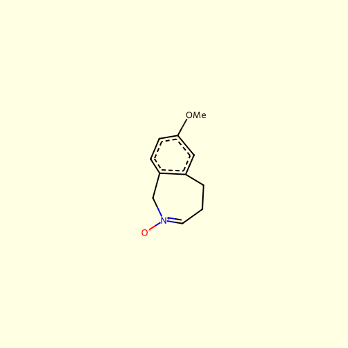 COc1ccc2c(c1)CCC=[N+]([O-])C2